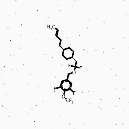 CC=CCC[C@H]1CC[C@H](CC(F)(F)OCc2cc(F)c(OC(F)(F)F)c(F)c2)CC1